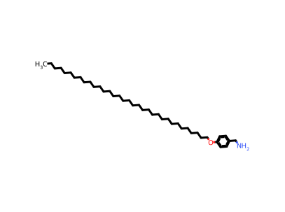 CCCCCCCCCCCCCCCCCCCCCCCCCCCCCCCCCCOc1ccc(CN)cc1